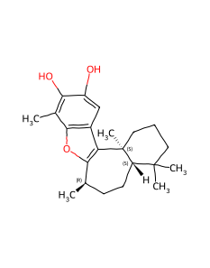 Cc1c(O)c(O)cc2c3c(oc12)[C@H](C)CC[C@H]1C(C)(C)CCC[C@]31C